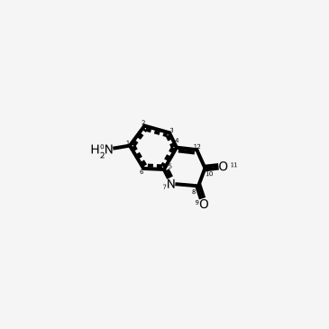 Nc1ccc2c(c1)=NC(=O)C(=O)C=2